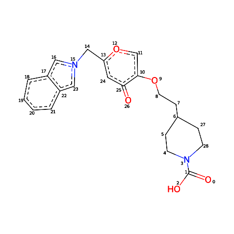 O=C(O)N1CCC(CCOc2coc(Cn3cc4ccccc4c3)cc2=O)CC1